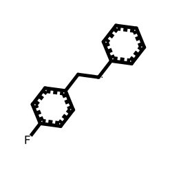 Fc1ccc(C[CH]c2ccccc2)cc1